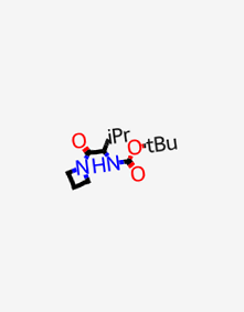 CC(C)C(NC(=O)OC(C)(C)C)C(=O)N1CCC1